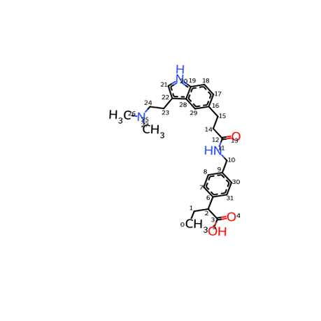 CCC(C(=O)O)c1ccc(CNC(=O)CCc2ccc3[nH]cc(CCN(C)C)c3c2)cc1